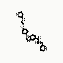 O=C(NCc1cccnc1)c1ccc2c(c1)ncn2-c1ccc(OCCOc2cccnc2)cc1